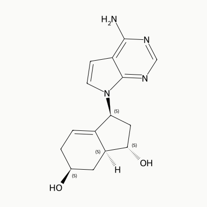 Nc1ncnc2c1ccn2[C@H]1C[C@H](O)[C@H]2C[C@@H](O)CC=C21